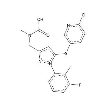 Cc1c(F)cccc1-n1nc(CN(C)C(=O)O)cc1Sc1ccc(Cl)nc1